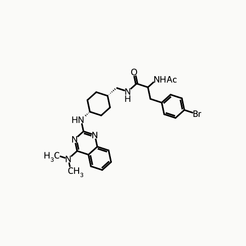 CC(=O)NC(Cc1ccc(Br)cc1)C(=O)NC[C@H]1CC[C@@H](Nc2nc(N(C)C)c3ccccc3n2)CC1